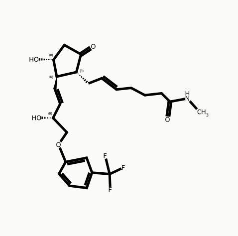 CNC(=O)CCCC=CC[C@H]1C(=O)C[C@@H](O)[C@@H]1C=C[C@@H](O)COc1cccc(C(F)(F)F)c1